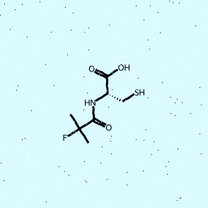 CC(C)(F)C(=O)N[C@@H](CS)C(=O)O